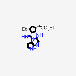 CCOC(=O)C[C@H]1C[C@@H](CC)[C@@H](C(=N)n2c(=N)cnc3[nH]ccc32)C1